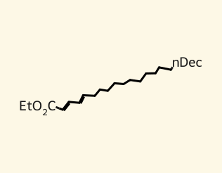 CCCCCCCCCCCCCCCCCCCCCC=CC=CC(=O)OCC